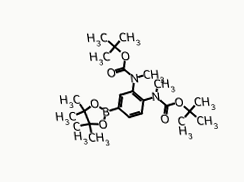 CN(C(=O)OC(C)(C)C)c1ccc(B2OC(C)(C)C(C)(C)O2)cc1N(C)C(=O)OC(C)(C)C